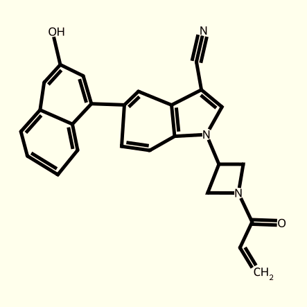 C=CC(=O)N1CC(n2cc(C#N)c3cc(-c4cc(O)cc5ccccc45)ccc32)C1